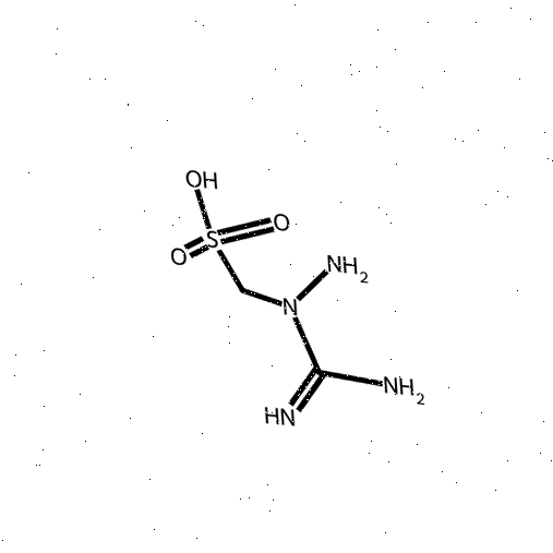 N=C(N)N(N)CS(=O)(=O)O